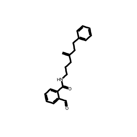 C=C(CCCNC(=O)c1ccccc1C=O)CCc1ccccc1